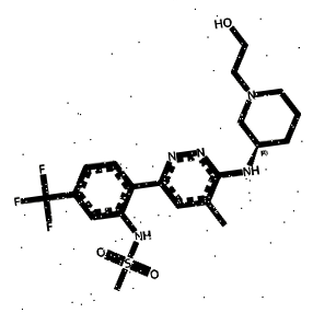 Cc1cc(-c2ccc(C(F)(F)F)cc2NS(C)(=O)=O)nnc1N[C@@H]1CCCN(CCO)C1